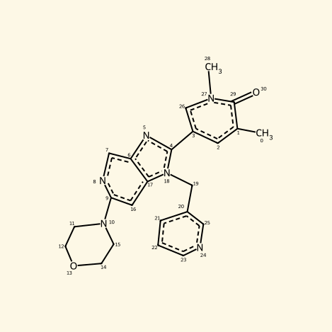 Cc1cc(-c2nc3cnc(N4CCOCC4)cc3n2Cc2cccnc2)cn(C)c1=O